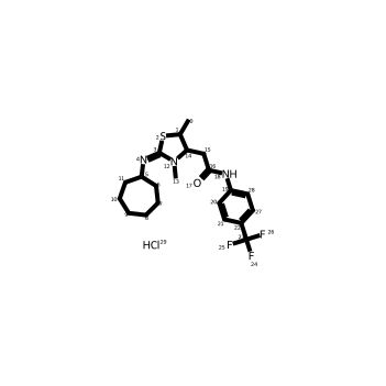 CC1SC(=NC2CCCCCC2)N(C)C1CC(=O)Nc1ccc(C(F)(F)F)cc1.Cl